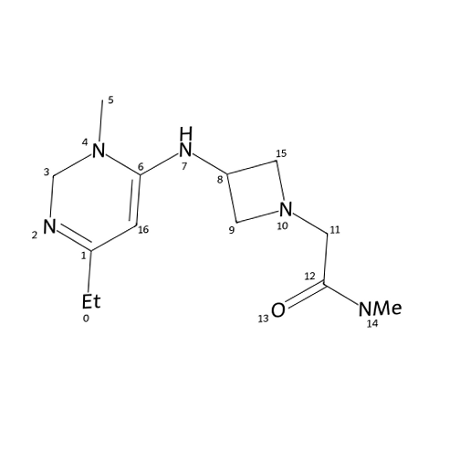 CCC1=NCN(C)C(NC2CN(CC(=O)NC)C2)=C1